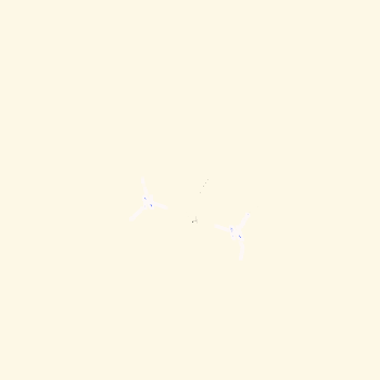 C=CC(CC)[Si](C)(N(C)C)N(C)C